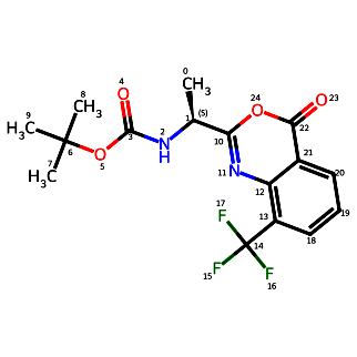 C[C@H](NC(=O)OC(C)(C)C)c1nc2c(C(F)(F)F)cccc2c(=O)o1